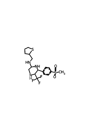 CS(=O)(=O)c1ccc(C2NC(NCC3CCCS3)CNC2C(F)(F)F)cc1